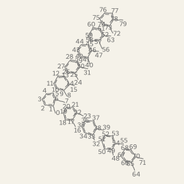 Cc1ccccc1C.Cc1ccccc1C.Cc1ccccc1C.Cc1ccccc1C.Cc1ccccc1C.Cc1ccccc1C.Cc1ccccc1C.Cc1ccccc1C.Cc1ccccc1C.Cc1ccccc1C